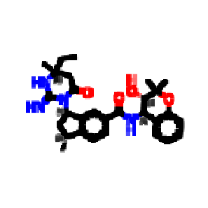 CC[C@]1(C)CC(=O)N([C@@H]2C[C@@H](C)c3ccc(C(=O)N[C@@H]4c5ccccc5OC(C)(C)[C@H]4O)cc32)C(=N)N1